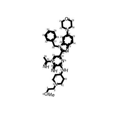 COCCN1CCC(Nc2nc(-c3nc4ccc(N5CCOCC5)cc4n3Cc3ccccc3)cn(C(C)=N)c2=N)CC1